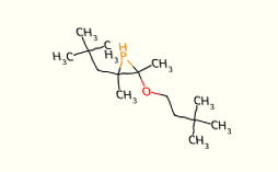 CC(C)(C)CCOC1(C)PC1(C)CC(C)(C)C